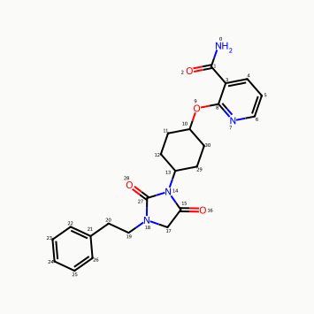 NC(=O)c1cccnc1OC1CCC(N2C(=O)CN(CCc3ccccc3)C2=O)CC1